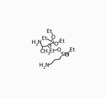 CCO[SiH](CCCN)OCC.CCO[Si](CC)(OCC)OC(C)N